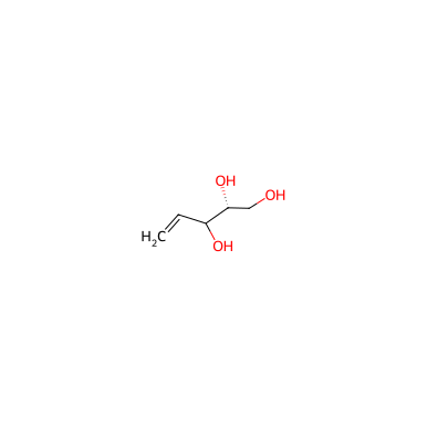 C=CC(O)[C@H](O)CO